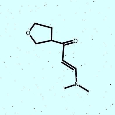 CN(C)C=CC(=O)C1CCOC1